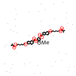 C=C(C)C(=O)OCCCCCCOc1ccc2cc(C(=O)Oc3ccc(OC(=O)c4ccc5cc(OCCCCCCOC(=O)C(=C)C)ccc5c4)c(OC)c3)ccc2c1